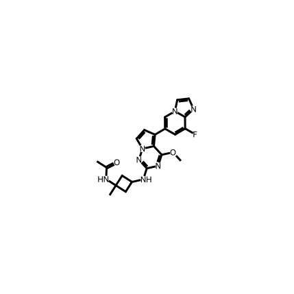 COc1nc(NC2CC(C)(NC(C)=O)C2)nn2ccc(-c3cc(F)c4nccn4c3)c12